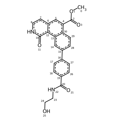 COC(=O)c1cc2cc[nH]c(=O)c2c2cc(-c3ccc(C(=O)NCCO)cc3)ccc12